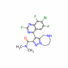 CN(C)C(=O)c1nn2c(c1-c1nc(F)nc3c(F)c(Br)c(F)cc13)CNCCC2